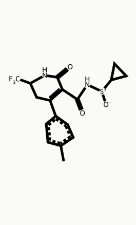 Cc1ccc(C2=C(C(=O)N[S+]([O-])C3CC3)C(=O)NC(C(F)(F)F)C2)cc1